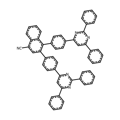 N#Cc1cc(-c2ccc(-c3cc(-c4ccccc4)nc(-c4ccccc4)n3)cc2)c(-c2ccc(-c3cc(-c4ccccc4)nc(-c4ccccc4)n3)cc2)c2ccccc12